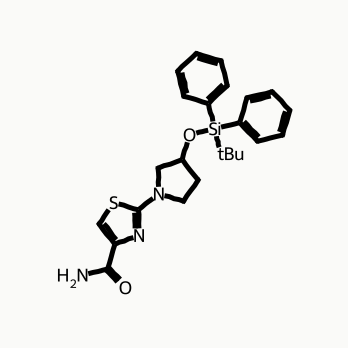 CC(C)(C)[Si](OC1CCN(c2nc(C(N)=O)cs2)C1)(c1ccccc1)c1ccccc1